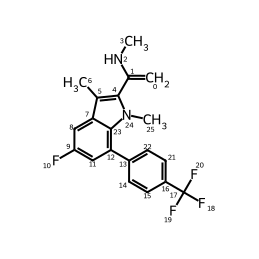 C=C(NC)c1c(C)c2cc(F)cc(-c3ccc(C(F)(F)F)cc3)c2n1C